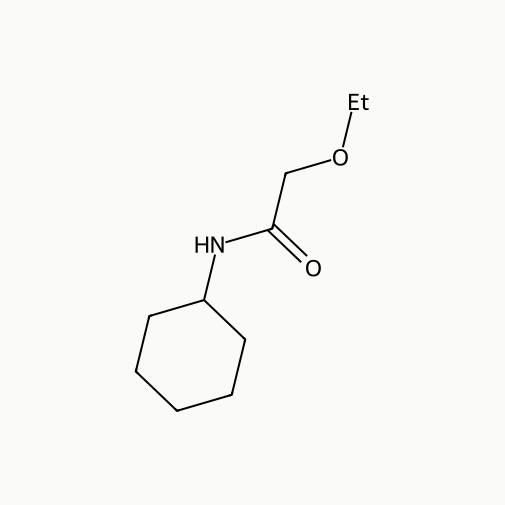 CCOCC(=O)NC1CCCCC1